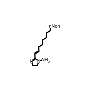 CCCCCCCCCCCCCCCC=CC1=NCCN1N